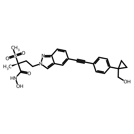 C[C@@](CCn1cc2cc(C#Cc3ccc(C4(CO)CC4)cc3)ccc2n1)(C(=O)NO)S(C)(=O)=O